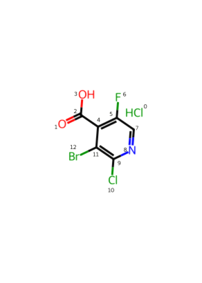 Cl.O=C(O)c1c(F)cnc(Cl)c1Br